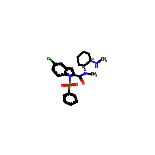 CN[C@H]1CCCC[C@H]1N(C)C(=O)c1cc2cc(Cl)ccc2n1S(=O)(=O)c1ccccc1